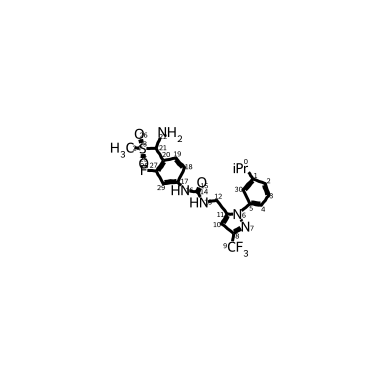 CC(C)c1cccc(-n2nc(C(F)(F)F)cc2CNC(=O)Nc2ccc(C(N)S(C)(=O)=O)c(F)c2)c1